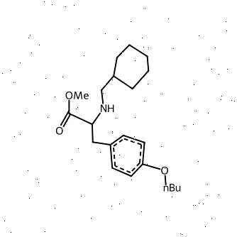 CCCCOc1ccc(CC(NCC2CCCCC2)C(=O)OC)cc1